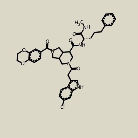 CNC(=O)[C@H](CCCc1ccccc1)NC(=O)C1CN(C(=O)Cc2c[nH]c3cc(Cl)ccc23)CC2CN(C(=O)c3ccc4c(c3)OCCO4)CC21